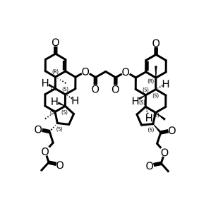 CC(=O)OCC(=O)[C@H]1CC[C@H]2[C@@H]3CC(OC(=O)CC(=O)OC4C[C@H]5[C@@H]6CC[C@H](C(=O)COC(C)=O)[C@@]6(C)CC[C@@H]5[C@@]5(C)CCC(=O)C=C45)C4=CC(=O)CC[C@]4(C)[C@H]3CC[C@]12C